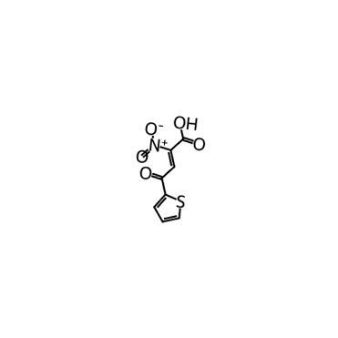 O=C(O)C(=CC(=O)c1cccs1)[N+](=O)[O-]